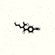 CCCCC(C(C)=O)C(=O)c1ccc(C#N)cc1